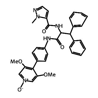 COc1c[n+]([O-])cc(OC)c1-c1ccc(NC(=O)C(NC(=O)c2ccnn2C)C(c2ccccc2)c2ccccc2)cc1